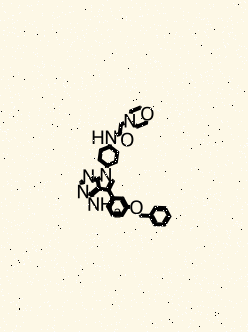 Nc1ncnc2c1c(-c1cccc(OCc3ccccc3)c1)cn2C1CCC(NC(=O)CN2CCOCC2)CC1